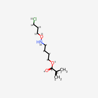 C=C(C)C(=O)OCCCCNOCCCCl